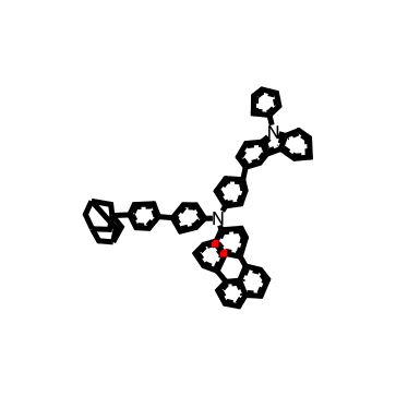 c1ccc(-c2cccc3cccc(-c4ccc(N(c5ccc(-c6ccc(C78CC9CC(CC(C9)C7)C8)cc6)cc5)c5ccc(-c6ccc7c(c6)c6ccccc6n7-c6ccccc6)cc5)cc4)c23)cc1